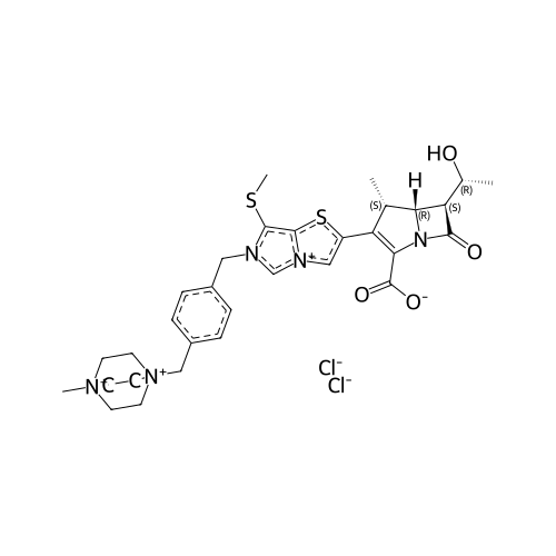 CSc1c2sc(C3=C(C(=O)[O-])N4C(=O)[C@H]([C@@H](C)O)[C@H]4[C@H]3C)c[n+]2cn1Cc1ccc(C[N+]23CC[N+](C)(CC2)CC3)cc1.[Cl-].[Cl-]